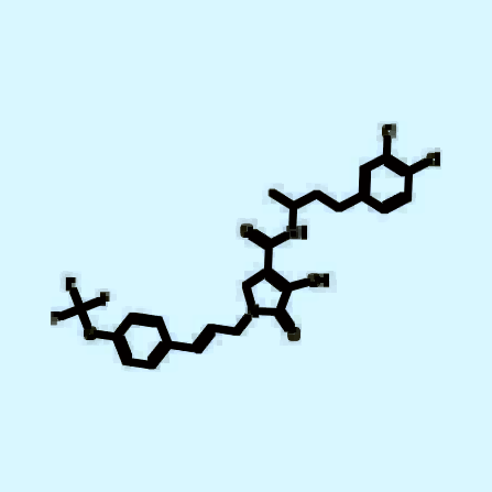 CC(CCc1ccc(Cl)c(Cl)c1)NC(=O)C1=C(O)C(=O)N(CC=Cc2ccc(OC(F)(F)F)cc2)C1